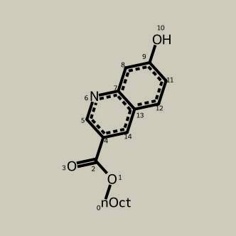 CCCCCCCCOC(=O)c1cnc2cc(O)ccc2c1